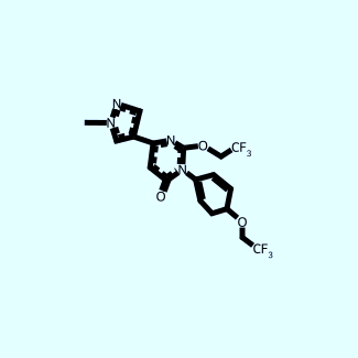 Cn1cc(-c2cc(=O)n(C3=CCC(OCC(F)(F)F)C=C3)c(OCC(F)(F)F)n2)cn1